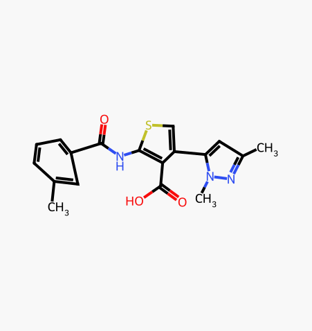 Cc1cccc(C(=O)Nc2scc(-c3cc(C)nn3C)c2C(=O)O)c1